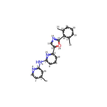 Cc1ccnc(Nc2cccc(-c3cnc(-c4c(C)cccc4C)o3)n2)c1